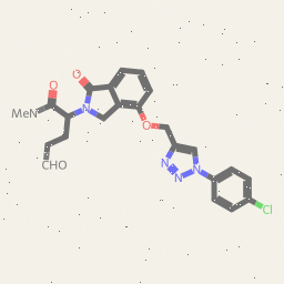 CNC(=O)C(CCC=O)N1Cc2c(OCc3cn(-c4ccc(Cl)cc4)nn3)cccc2C1=O